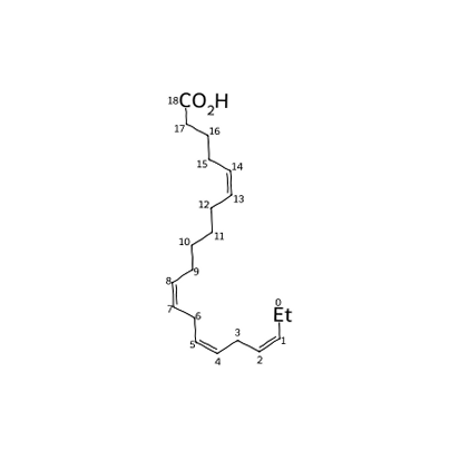 CC/C=C\C/C=C\C/C=C\CCCC/C=C\CCCC(=O)O